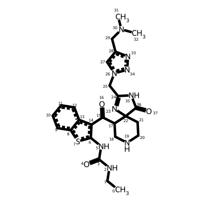 CCNC(=O)Nc1sc2ccccc2c1C(=O)C1CNCCC12N=C(Cn1cc(CN(C)C)nn1)NC2=O